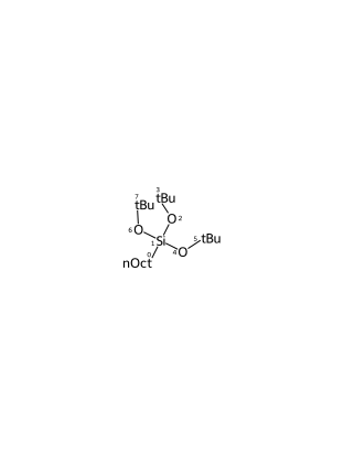 CCCCCCCC[Si](OC(C)(C)C)(OC(C)(C)C)OC(C)(C)C